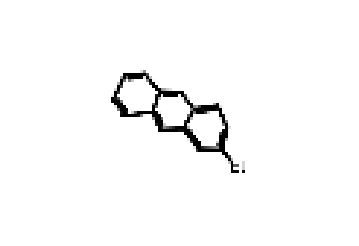 CCc1ccc2cc3ccc[c]c3cc2c1